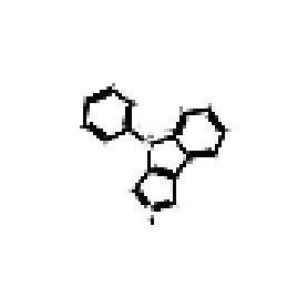 C1=[PH]=Cc2c1c1ccccc1n2-c1ccccc1